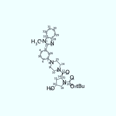 Cn1c(-c2cccc(N3CCN(C(=O)[C@@H]4CC(O)CN4C(=O)OC(C)(C)C)CC3)c2)nc2ccccc21